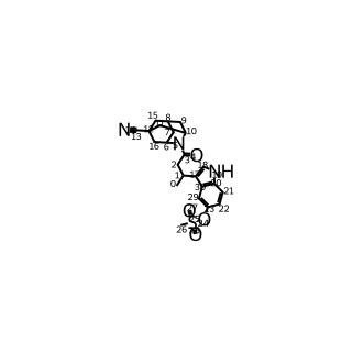 CC(CC(=O)N1C2CC3CC1CC(C#N)(C3)C2)c1c[nH]c2ccc(OS(C)(=O)=O)cc12